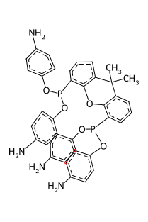 CC1(C)c2cccc(P(Oc3ccc(N)cc3)Oc3ccc(N)cc3)c2Oc2c(P(Oc3ccc(N)cc3)Oc3ccc(N)cc3)cccc21